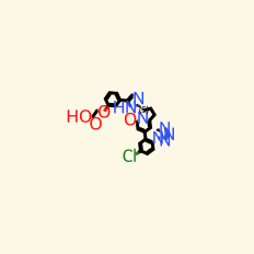 O=C(O)COc1cccc(-c2cnc([C@@H]3CCc4cc(-c5cc(Cl)ccc5-n5cnnn5)cc(=O)n43)[nH]2)c1